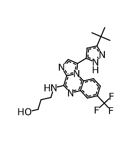 CC(C)(C)c1cc(-c2cnc3c(NCCCO)nc4cc(C(F)(F)F)ccc4n23)[nH]n1